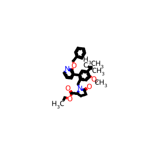 CCOC(=O)C1CCC(=O)N1Cc1cc(OC)c(C(C)(C)C)cc1-c1cccnc1OCc1ccccc1